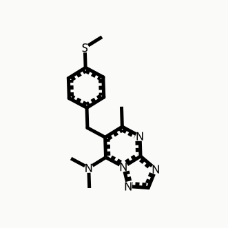 CSc1ccc(Cc2c(C)nc3ncnn3c2N(C)C)cc1